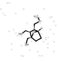 COC[C@H]1[C@@H]2CC[C@@](CO)(O2)[C@H]1CO